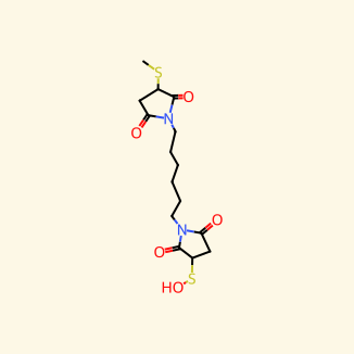 CSC1CC(=O)N(CCCCCCN2C(=O)CC(SO)C2=O)C1=O